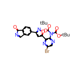 CC(C)(C)OC(=O)N(C(=O)OC(C)(C)C)c1ncc(Br)nc1-c1cc(-c2ccc3c(c2)C=NC3=O)no1